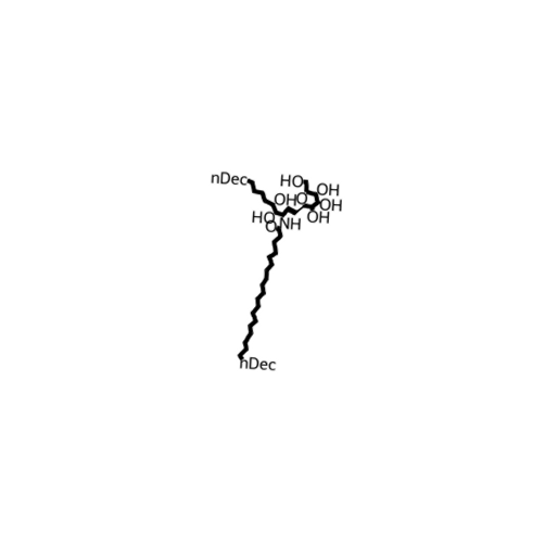 CCCCCCCCCCCCCCCCCCCCCCCCCCCCC(=O)N[C@@H](/C=C/[C@H]1OC(CO)[C@H](O)[C@H](O)C1O)[C@H](O)[C@@H](O)CCCCCCCCCCCCCC